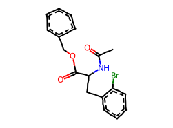 CC(=O)NC(Cc1ccccc1Br)C(=O)OCc1ccccc1